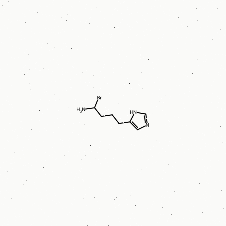 NC(Br)CCCc1cnc[nH]1